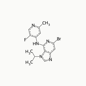 Cc1cc(Nc2nc(Br)cc3ncn(C(C)C)c23)c(F)cn1